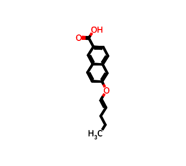 CCCC=COc1ccc2cc(C(=O)O)ccc2c1